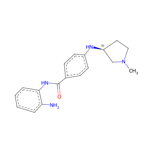 CN1CC[C@H](Nc2ccc(C(=O)Nc3ccccc3N)cc2)C1